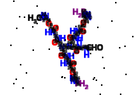 Cn1cc(COCCC(=O)NCCNC(=O)CCN(CCC(=O)NCCNC(=O)CCOCc2cn(P)nn2)CCN(CCC(=O)NCCNC=O)CCC(=O)NCCNC(=O)CCOCc2cn(P)nn2)nn1